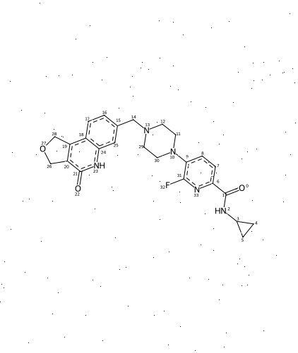 O=C(NC1CC1)c1ccc(N2CCN(Cc3ccc4c5c(c(=O)[nH]c4c3)COC5)CC2)c(F)n1